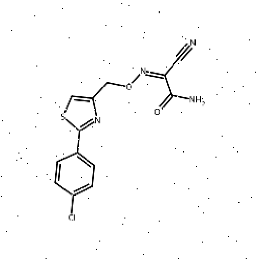 N#CC(=NOCc1csc(-c2ccc(Cl)cc2)n1)C(N)=O